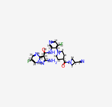 N#CC1CN(C(=O)C2CCN(c3c(F)cncc3NC(=O)c3c(N)nn4cc(F)cnc34)CC2)C1